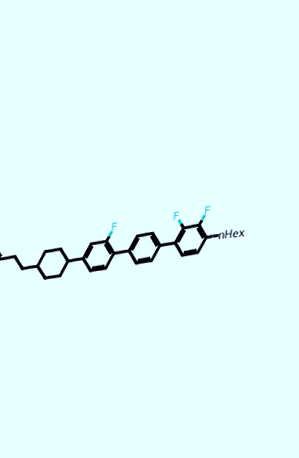 C=CCCC1CCC(c2ccc(-c3ccc(-c4ccc(CCCCCC)c(F)c4F)cc3)c(F)c2)CC1